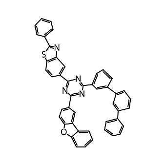 c1ccc(-c2cccc(-c3cccc(-c4nc(-c5ccc6sc(-c7ccccc7)nc6c5)nc(-c5ccc6oc7ccccc7c6c5)n4)c3)c2)cc1